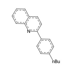 CCCCc1ccc(-c2ccc3ccccc3n2)cc1